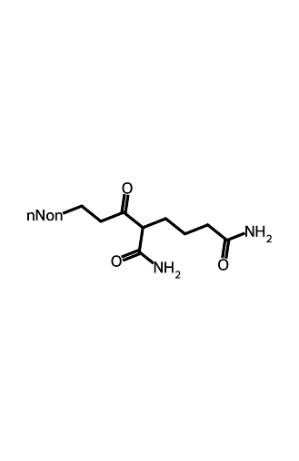 CCCCCCCCCCCC(=O)C(CCCC(N)=O)C(N)=O